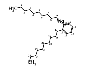 CCCCCCCCC[CH2][Mg][c]1ccccc1CCCCCCCCCC